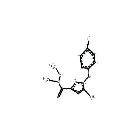 CON(C)C(=O)c1cc(C)n(Cc2ccc(F)cc2)n1